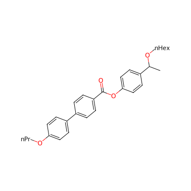 CCCCCCOC(C)c1ccc(OC(=O)c2ccc(-c3ccc(OCCC)cc3)cc2)cc1